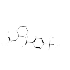 CC(O)(c1ccc(C(=O)N2CCCCC2CC(N)=O)cc1)C(F)(F)F